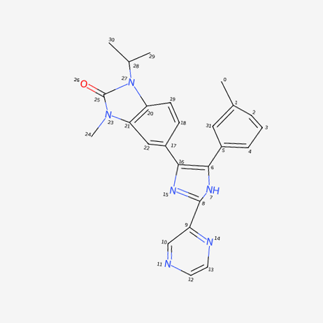 Cc1cccc(-c2[nH]c(-c3cnccn3)nc2-c2ccc3c(c2)n(C)c(=O)n3C(C)C)c1